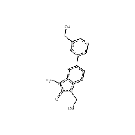 Cn1c(=O)n(CC(C)(C)C)c2ccc(-c3cncc(CO)c3)nc21